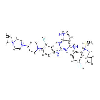 CCN1CCN(C2CCN(c3ccc(Nc4nc(Nc5ccc(F)c6c5N(SC)CC65CCC5)c5cc[nH]c5n4)cc3F)CC2)CC1